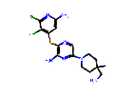 CC1(CN)CCN(c2cnc(Sc3cc(N)nc(Cl)c3Cl)c(N)n2)CC1